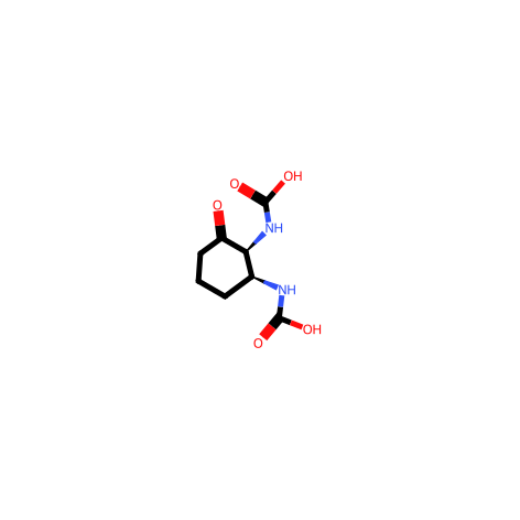 O=C(O)N[C@H]1CCCC(=O)[C@H]1NC(=O)O